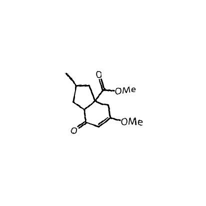 COC(=O)C12CC(OC)=CC(=O)C1CC(C)C2